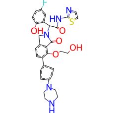 O=C(Nc1nccs1)C(c1cc(F)ccc1O)N1Cc2ccc(-c3ccc(N4CCNCC4)cc3)c(OCCO)c2C1=O